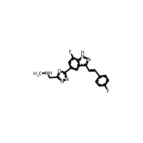 CNCc1nnc(-c2cc(F)c3[nH]nc(/C=C/c4ccc(F)cc4)c3c2)o1